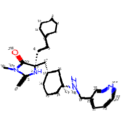 C=C1N[C@](CCC2CCCCC2)(C[C@H]2CCC[C@@H](NCc3cccnc3)C2)C(=O)N1C